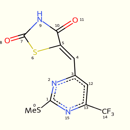 CSc1nc(/C=C2\SC(=O)NC2=O)cc(C(F)(F)F)n1